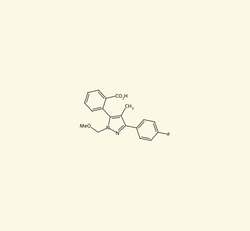 COCn1nc(-c2ccc(F)cc2)c(C)c1-c1ccccc1C(=O)O